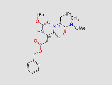 CON(C)C(=O)[C@H](CC(C)C)NC(=O)[C@@H](CC(=O)OCc1ccccc1)NC(=O)OC(C)(C)C